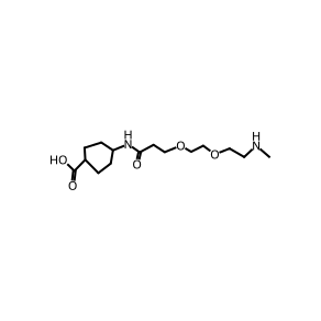 CNCCOCCOCCC(=O)NC1CCC(C(=O)O)CC1